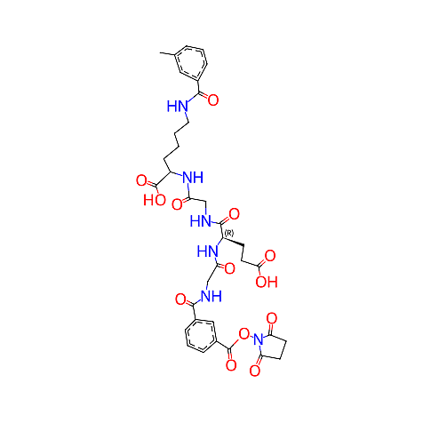 Cc1cccc(C(=O)NCCCCC(NC(=O)CNC(=O)[C@@H](CCC(=O)O)NC(=O)CNC(=O)c2cccc(C(=O)ON3C(=O)CCC3=O)c2)C(=O)O)c1